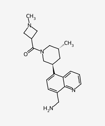 C[C@@H]1C[C@@H](c2ccc(CN)c3ncccc23)CN(C(=O)C2CN(C)C2)C1